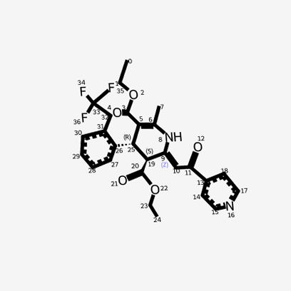 CCOC(=O)C1=C(C)N/C(=C\C(=O)c2ccncc2)[C@@H](C(=O)OCC)[C@@H]1c1ccccc1CC(F)(F)F